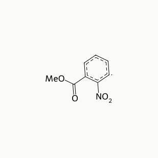 COC(=O)c1ccc[c]c1[N+](=O)[O-]